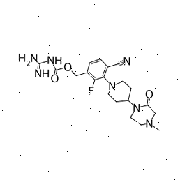 CN1CCN(C2CCN(c3c(C#N)ccc(COC(=O)NC(=N)N)c3F)CC2)C(=O)C1